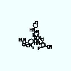 C[C@]1(C(N)=O)CC[C@H](n2c(Nc3c(F)cc(C#N)cc3Cl)nc3cnc(NC4CCOCC4)nc32)CC1